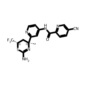 C[C@@]1(c2cc(NC(=O)c3ccc(C#N)cn3)ccn2)C[C@@H](C(F)(F)F)SC(N)=N1